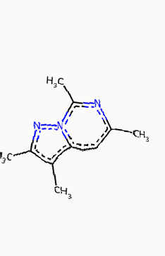 Cc1cc2c(C)c(C)nn2c(C)n1